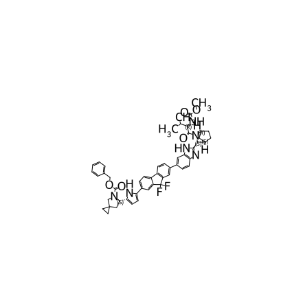 COC(=O)N[C@@H](C(=O)N1[C@@H]2CC[C@@H](C2)[C@H]1c1nc2ccc(-c3ccc4c(c3)C(F)(F)c3cc(-c5ccc([C@@H]6CC7(CC7)CN6C(=O)OCc6ccccc6)[nH]5)ccc3-4)cc2[nH]1)C(C)C